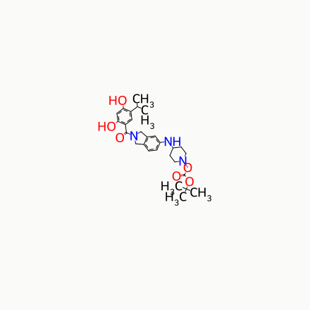 CC(C)c1cc(C(=O)N2Cc3ccc(NC4CCN(OC(=O)OC(C)(C)C)CC4)cc3C2)c(O)cc1O